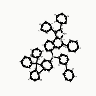 c1ccc(-c2cccc(N(c3ccc4c(c3)C(c3ccccc3)(c3ccccc3)c3ccccc3-4)c3cccc4c3cc(-c3ccccc3)n3nc(-c5ccccc5)c(-c5ccccc5)c43)c2)cc1